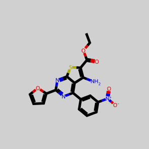 CCOC(=O)c1sc2nc(-c3ccco3)nc(-c3cccc([N+](=O)[O-])c3)c2c1N